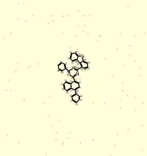 c1ccc(-c2nc(-c3ccc(-c4ccccc4)c4ccccc34)nc(-c3cccc4oc5ccccc5c34)n2)cc1